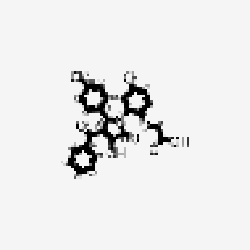 O=C(O)COc1ccc(Cl)cc1N1C(=O)C(O)=C(C(=O)c2ccccc2)C1c1ccc(Cl)cc1